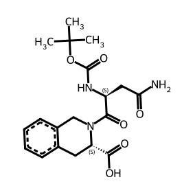 CC(C)(C)OC(=O)N[C@@H](CC(N)=O)C(=O)N1Cc2ccccc2C[C@H]1C(=O)O